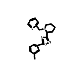 Cc1cccc(-c2nc(C3CCCCN3Cc3ccccn3)no2)c1